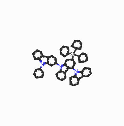 c1ccc(-n2c3ccccc3c3ccc(-n4c5ccccc5c5c(-n6c7ccccc7c7ccccc76)cc([Si](c6ccccc6)(c6ccccc6)c6ccccc6)cc54)cc32)cc1